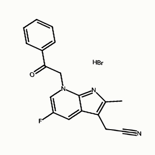 Br.Cc1nc2n(CC(=O)c3ccccc3)cc(F)cc-2c1CC#N